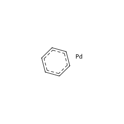 [Pd].c1ccccc1